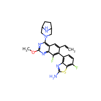 C=Cc1cc2c(N3CC4CCC(C3)N4)nc(OC)nc2c(F)c1-c1ccc(F)c2sc(N)nc12